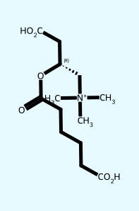 C[N+](C)(C)C[C@@H](CC(=O)O)OC(=O)CCCCC(=O)O